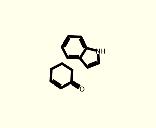 O=C1C=CCCC1.c1ccc2[nH]ccc2c1